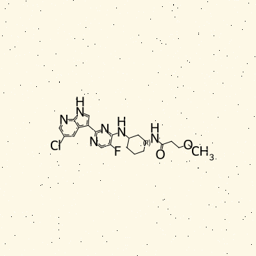 COCCC(=O)N[C@@H]1CCCC(Nc2nc(-c3c[nH]c4ncc(Cl)cc34)ncc2F)C1